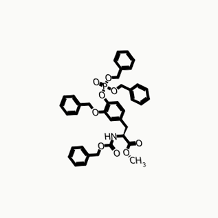 COC(=O)[C@H](Cc1ccc(OP(=O)(OCc2ccccc2)OCc2ccccc2)c(OCc2ccccc2)c1)NC(=O)OCc1ccccc1